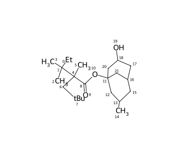 CCC(C)(C)C(C)(CC(C)(C)C)C(=O)OC12CC(C)CC(CC(O)C1)C2